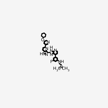 CN(C)CCNc1cc(F)cc(-c2ccnc3[nH]c(-c4n[nH]c5ccc(-c6cncc(OC7CCCCC7)c6)nc45)nc23)c1